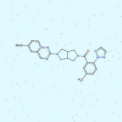 COc1ccc2nc(N3CC4CN(C(=O)c5cc(C)ccc5-n5nccn5)CC4C3)ncc2c1